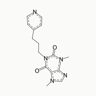 Cn1cnc2c1c(=O)n(CCCc1ccncc1)c(=O)n2C